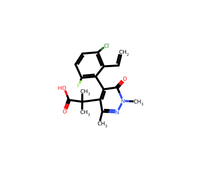 C=Cc1c(Cl)ccc(F)c1-c1c(C(C)(C)C(=O)O)c(C)nn(C)c1=O